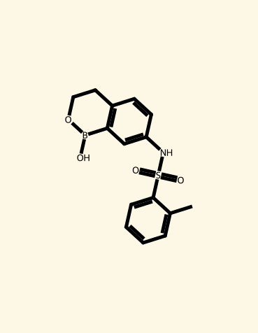 Cc1ccccc1S(=O)(=O)Nc1ccc2c(c1)B(O)OCC2